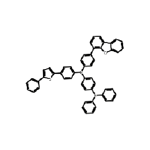 c1ccc(-c2ccc(-c3ccc(N(c4ccc(-c5cccc6c5oc5ccccc56)cc4)c4ccc(N(c5ccccc5)c5ccccc5)cc4)cc3)s2)cc1